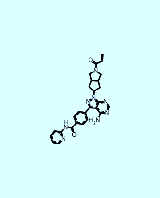 C=CC(=O)N1CC2CC(n3nc(-c4ccc(C(=O)Nc5ccccn5)cc4)c4c(N)ncnc43)CC2C1